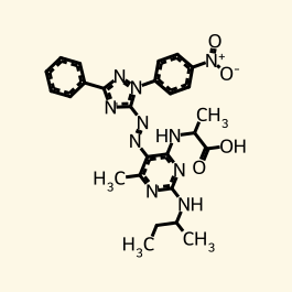 CCC(C)Nc1nc(C)c(N=Nc2nc(-c3ccccc3)nn2-c2ccc([N+](=O)[O-])cc2)c(NC(C)C(=O)O)n1